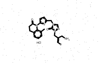 Cc1cccc2c1N(c1ccc(Cn3cnn(C/C(=C/F)CN)c3=O)s1)C(=O)CC2.Cl